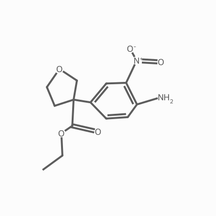 CCOC(=O)C1(c2ccc(N)c([N+](=O)[O-])c2)CCOC1